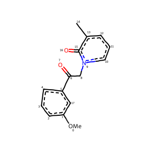 COc1cccc(C(=O)Cn2cccc(C)c2=O)c1